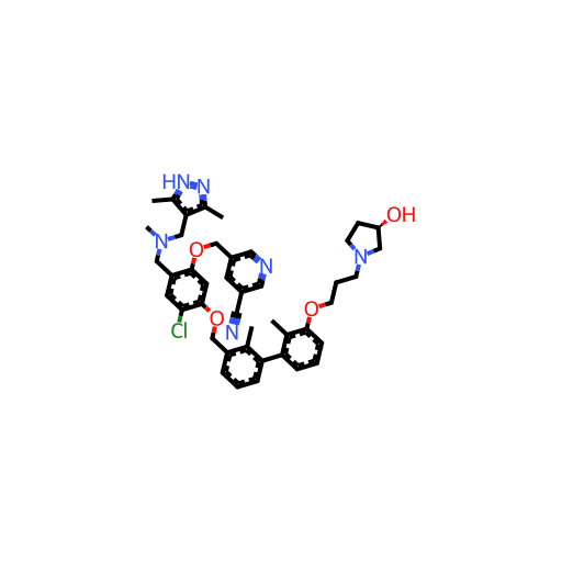 Cc1n[nH]c(C)c1CN(C)Cc1cc(Cl)c(OCc2cccc(-c3cccc(OCCCN4CC[C@@H](O)C4)c3C)c2C)cc1OCc1cncc(C#N)c1